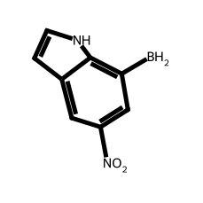 Bc1cc([N+](=O)[O-])cc2cc[nH]c12